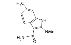 CNc1[nH]c2cc(C)ccc2c1C(N)=O